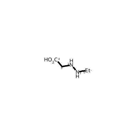 C[CH]NNCC(=O)O